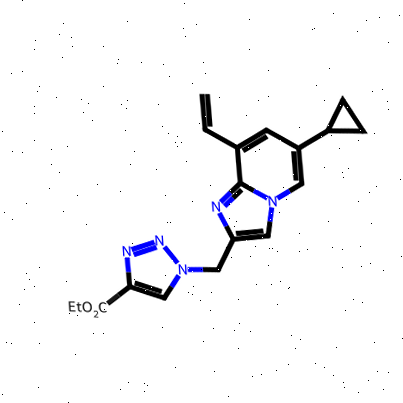 C=Cc1cc(C2CC2)cn2cc(Cn3cc(C(=O)OCC)nn3)nc12